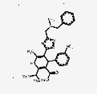 COC(=O)C1=C(C(OC)OC)NC(C)=C(c2nc(CN(C)Cc3ccccc3)no2)C1c1cccc([N+](=O)[O-])c1